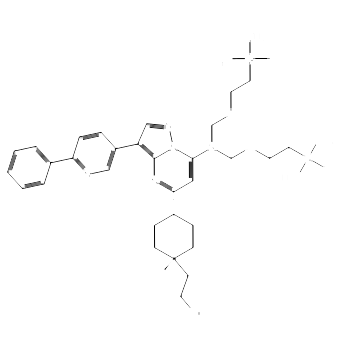 C[Si](C)(C)CCOCN(COCC[Si](C)(C)C)c1cc([C@H]2CC[C@@](O)(CCO)CC2)nc2c(-c3ccc(-c4ccccc4)nc3)cnn12